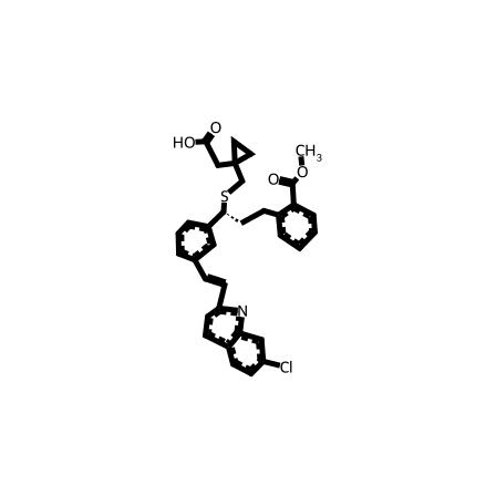 COC(=O)c1ccccc1CC[C@@H](SCC1(CC(=O)O)CC1)c1cccc(/C=C/c2ccc3ccc(Cl)cc3n2)c1